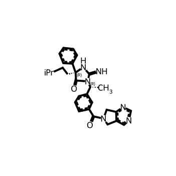 CC(C)CC[C@]1(c2ccccc2)NC(=N)N([C@H](C)c2cccc(C(=O)N3Cc4cncnc4C3)c2)C1=O